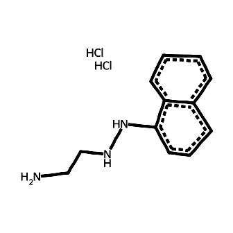 Cl.Cl.NCCNNc1cccc2ccccc12